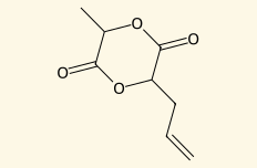 C=CCC1OC(=O)C(C)OC1=O